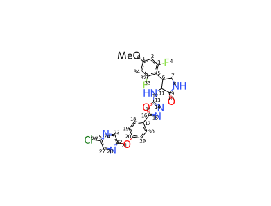 COc1cc(F)c(C2CNC(=O)C2Nc2nnc(-c3ccc(Oc4cnc(Cl)cn4)cc3)o2)c(F)c1